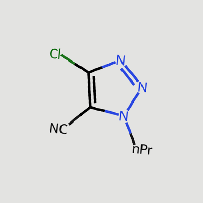 CCCn1nnc(Cl)c1C#N